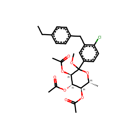 CCc1ccc(Cc2cc(C3(OC)O[C@H](C)[C@@H](OC(C)=O)[C@H](OC(C)=O)[C@H]3OC(C)=O)ccc2Cl)cc1